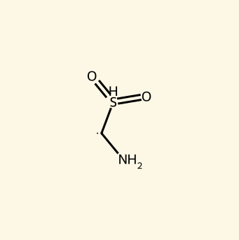 N[CH][SH](=O)=O